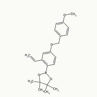 C=Cc1cc(OCc2ccc(OC)cc2)ccc1B1OC(C)(C)C(C)(C)O1